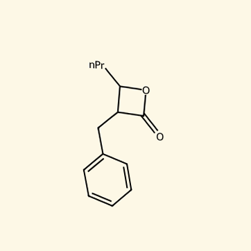 CCCC1OC(=O)C1Cc1ccccc1